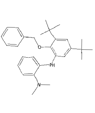 CN(C)c1ccccc1Pc1cc(C(C)(C)C)cc(C(C)(C)C)c1OCc1ccccc1